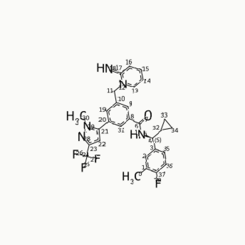 Cc1cc([C@@H](NC(=O)c2cc(Cn3ccccc3=N)cc(-c3cc(C(F)(F)F)nn3C)c2)C2CC2)ccc1F